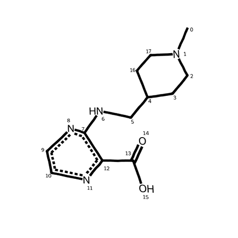 CN1CCC(CNc2nccnc2C(=O)O)CC1